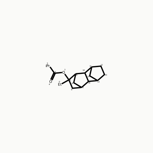 CCC1(OC(=O)C(C)C)CC2CC1C1C3CCC(C3)C21